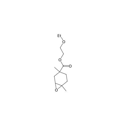 CCOCCOC(=O)C1(C)CCC2(C)OC2C1